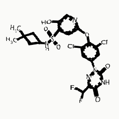 CC1(C)CC(NS(=O)(=O)c2cc(Oc3c(Cl)cc(-n4nc(C(F)F)c(=O)[nH]c4=O)cc3Cl)ncc2O)C1